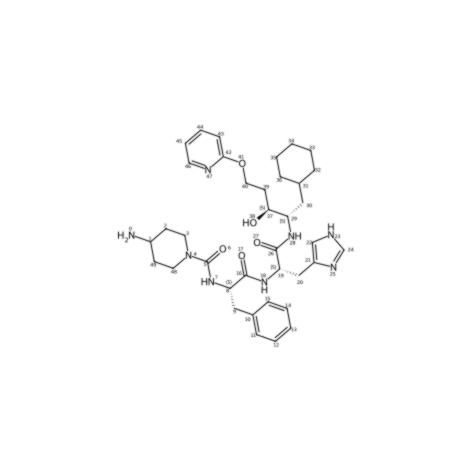 NC1CCN(C(=O)N[C@@H](Cc2ccccc2)C(=O)N[C@@H](Cc2c[nH]cn2)C(=O)N[C@@H](CC2CCCCC2)[C@@H](O)CCOc2ccccn2)CC1